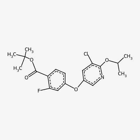 CC(C)Oc1ncc(Oc2ccc(C(=O)OC(C)(C)C)c(F)c2)cc1Cl